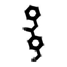 O=C(Cc1ccccc1)c1ccc(CO)cc1